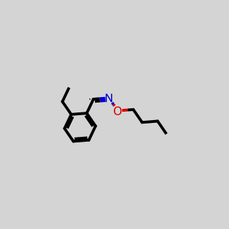 CCCCO/N=[C]\c1ccccc1CC